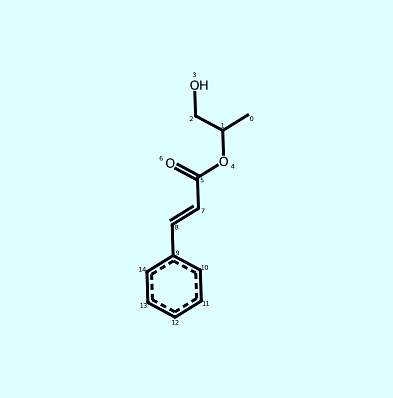 CC(CO)OC(=O)/C=C/c1ccccc1